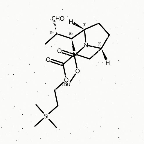 C[C@H](C=O)[C@H]1[C@@H]2CC[C@H](CN1C(=O)OCC[Si](C)(C)C)N2C(=O)OC(C)(C)C